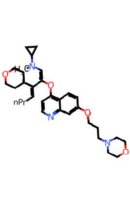 CCC/C=C(/C(=C\N(C)C1CC1)Oc1ccnc2cc(OCCCN3CCOCC3)ccc12)C1CCOCC1